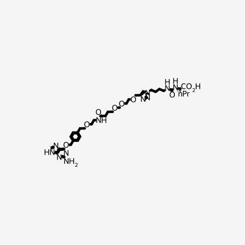 CCC[C@H](NC(=O)NCCCCn1cc(COCCOCOCCCC(=O)NCCOCCc2ccc(COc3nc(N)nc4[nH]cnc34)cc2)nn1)C(=O)O